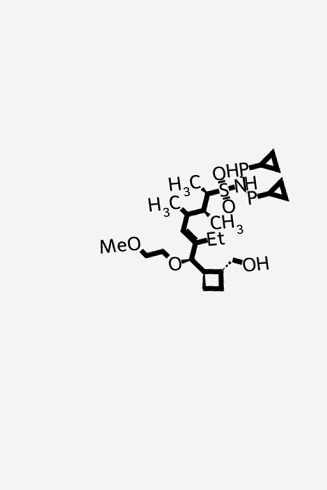 CC/C(=C\C(C)[C@H](C)[C@@H](C)S(=O)(=O)N(PC1CC1)PC1CC1)[C@H](OCCOC)[C@@H]1CC[C@H]1CO